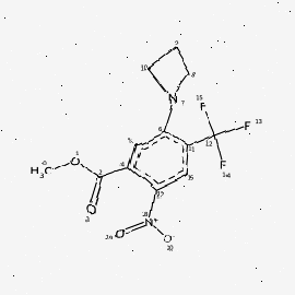 COC(=O)c1cc(N2CCC2)c(C(F)(F)F)cc1[N+](=O)[O-]